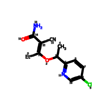 CCC(OC(C)c1ccc(Cl)cn1)=C(C#N)C(N)=O